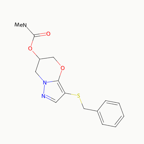 CNC(=O)OC1COc2c(SCc3ccccc3)cnn2C1